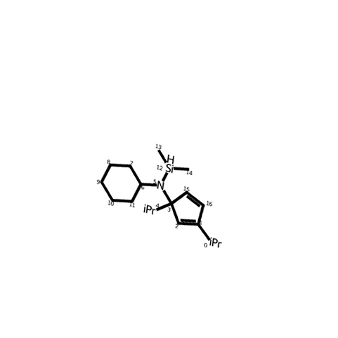 CC(C)C1=CC(C(C)C)(N(C2CCCCC2)[SiH](C)C)C=C1